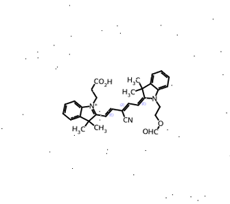 CC1(C)C(/C=C/C(C#N)=C/C=C2/N(CCOC=O)c3ccccc3C2(C)C)=[N+](CCC(=O)O)c2ccccc21